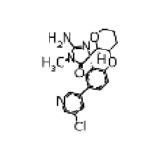 CN1C(=O)[C@]2(N=C1N)c1cc(-c3cncc(Cl)c3)ccc1OC1CCCO[C@@H]12